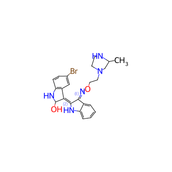 CC1CN(CCO/N=C2/C(=C3\c4cc(Br)ccc4NC3O)Nc3ccccc32)CCN1